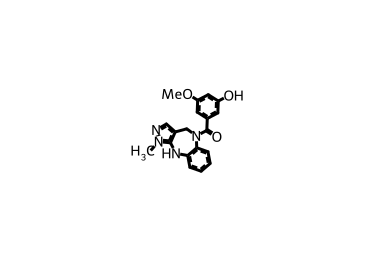 COc1cc(O)cc(C(=O)N2Cc3cnn(C)c3Nc3ccccc32)c1